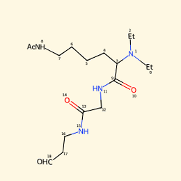 CCN(CC)C(CCCCNC(C)=O)C(=O)NCC(=O)NCCC=O